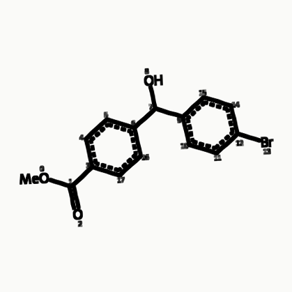 COC(=O)c1ccc(C(O)c2ccc(Br)cc2)cc1